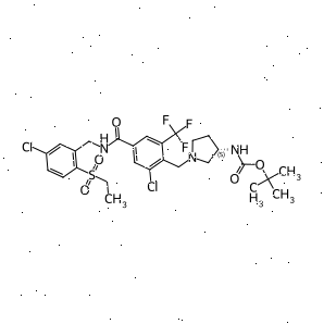 CCS(=O)(=O)c1ccc(Cl)cc1CNC(=O)c1cc(Cl)c(CN2CC[C@H](NC(=O)OC(C)(C)C)C2)c(C(F)(F)F)c1